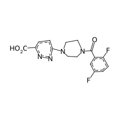 O=C(O)c1ccc(N2CCN(C(=O)c3cc(F)ccc3F)CC2)nn1